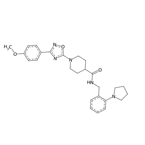 COc1ccc(-c2noc(N3CCC(C(=O)NCc4ccccc4N4CCCC4)CC3)n2)cc1